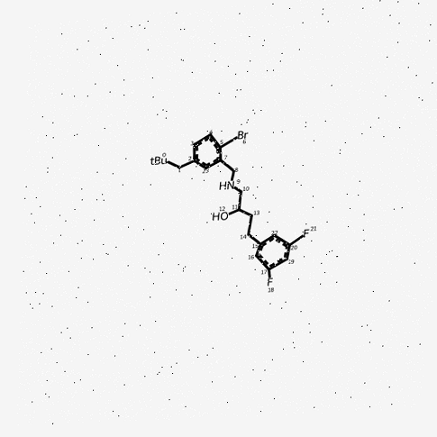 CC(C)(C)Cc1ccc(Br)c(CNCC(O)CCc2cc(F)cc(F)c2)c1